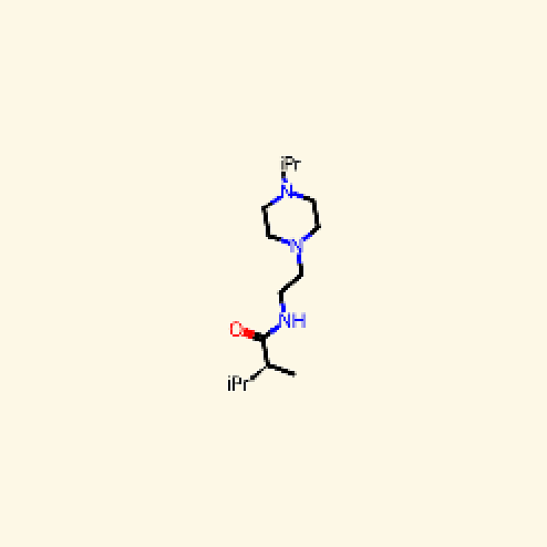 CC(C)[C@H](C)C(=O)NCCN1CCN(C(C)C)CC1